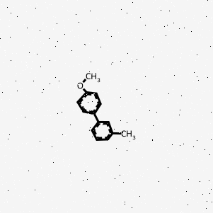 COc1ccc(-c2[c]ccc(C)c2)cc1